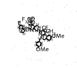 COc1ccc(CN(Cc2ccc(OC)cc2)c2cc(C)c(C(F)(F)F)c(N3CCc4c(nc(OC[C@@]56CCCN5C[C@H](F)C6)nc4OS(=O)(=O)C(F)(F)F)C3)n2)cc1